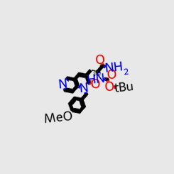 COc1ccc(Cn2c(=O)c(C[C@@H](NC(=O)OC(C)(C)C)C(N)=O)cc3cnccc32)cc1